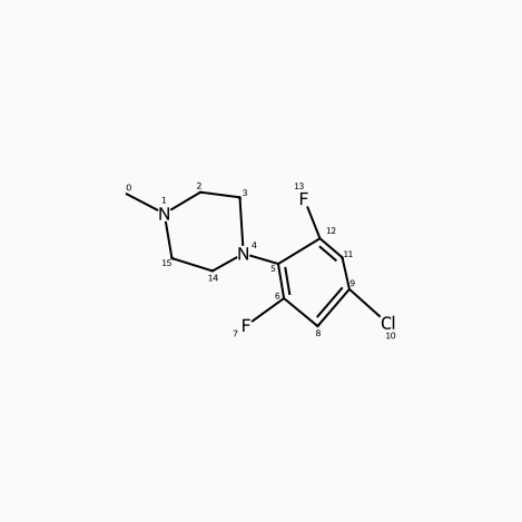 CN1CCN(c2c(F)cc(Cl)cc2F)CC1